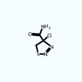 NC(=O)C1(Cl)CSN=N1